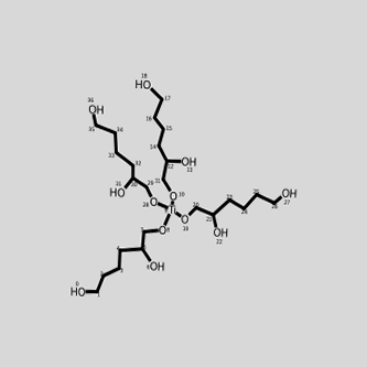 OCCCCC(O)C[O][Ti]([O]CC(O)CCCCO)([O]CC(O)CCCCO)[O]CC(O)CCCCO